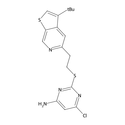 CC(C)(C)c1csc2cnc(CCSc3nc(N)cc(Cl)n3)cc12